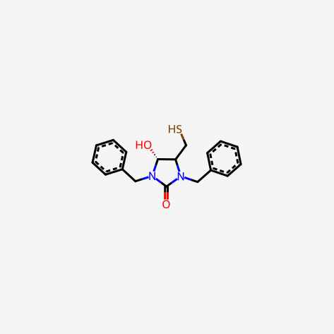 O=C1N(Cc2ccccc2)C(CS)[C@@H](O)N1Cc1ccccc1